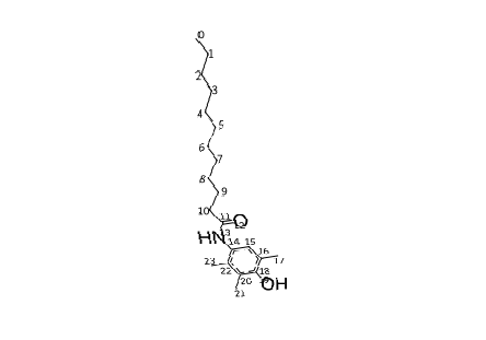 CCCCCCCCCCCC(=O)Nc1cc(C)c(O)c(C)c1C